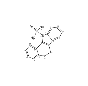 O=P(O)(O)n1c2c(c3ccccc31)CSc1ccccc1-2